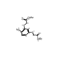 COC(=O)CSc1ccc(O)c(SCC(=O)OC)c1